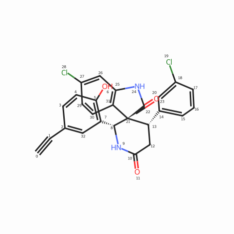 C#Cc1ccc(O)c([C@H]2NC(=O)C[C@@H](c3cccc(Cl)c3)[C@]23C(=O)Nc2cc(Cl)ccc23)c1